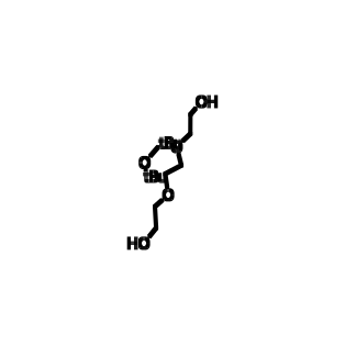 CC(C)(C)OC(C)(C)C.OCCOCCOCCO